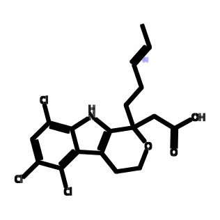 C/C=C/CCC1(CC(=O)O)OCCc2c1[nH]c1c(Cl)cc(Cl)c(Cl)c21